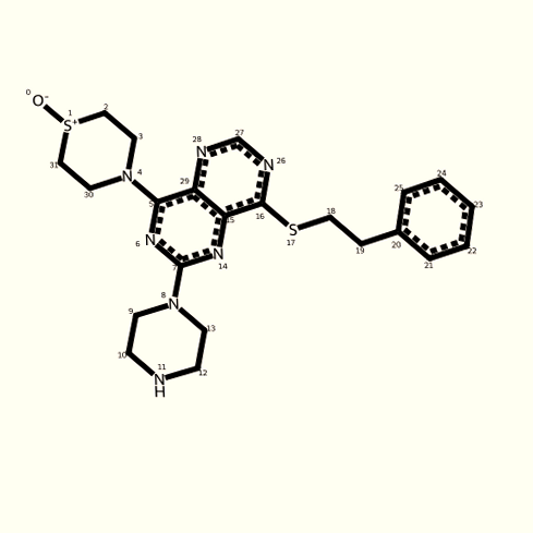 [O-][S+]1CCN(c2nc(N3CCNCC3)nc3c(SCCc4ccccc4)ncnc23)CC1